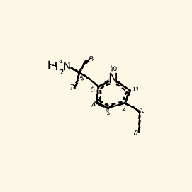 CCc1ccc(C(C)(C)N)nc1